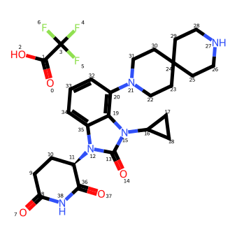 O=C(O)C(F)(F)F.O=C1CC[C@@H](n2c(=O)n(C3CC3)c3c(N4CCC5(CCNCC5)CC4)cccc32)C(=O)N1